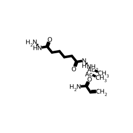 C=CC(N)=O.CC(C)=O.CC(C)=O.NNC(=O)CCCCC(=O)NN